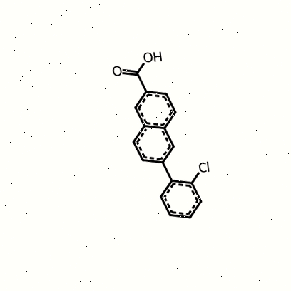 O=C(O)c1ccc2cc(-c3ccccc3Cl)ccc2c1